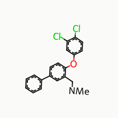 CNCc1cc(-c2ccccc2)ccc1Oc1ccc(Cl)c(Cl)c1